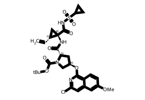 C=C[C@@H]1C[C@]1(NC(=O)[C@@H]1C[C@@H](Oc2nc(Cl)cc3cc(OC)ccc23)CN1C(=O)OC(C)(C)C)C(=O)NS(=O)(=O)C1CC1